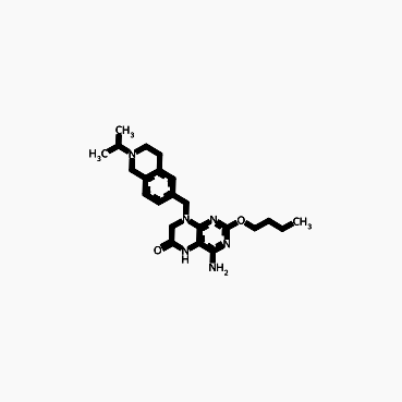 CCCCOc1nc(N)c2c(n1)N(Cc1ccc3c(c1)CCN(C(C)C)C3)CC(=O)N2